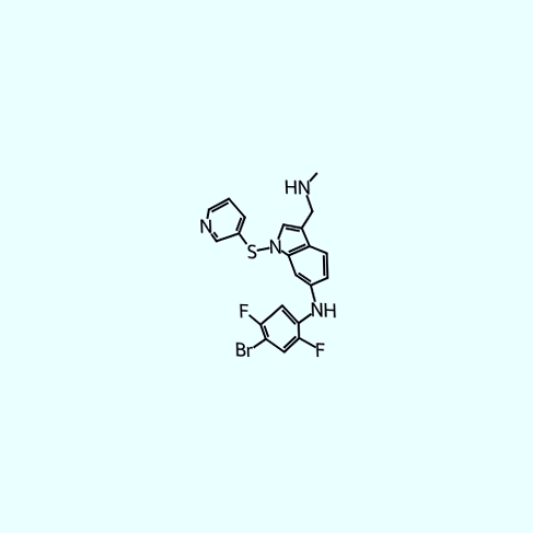 CNCc1cn(Sc2cccnc2)c2cc(Nc3cc(F)c(Br)cc3F)ccc12